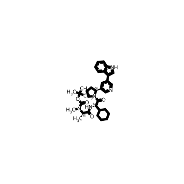 C[C@@H](C(=O)N[C@H](C(=O)N1CCC[C@H]1c1cncc(-c2c[nH]c3ccccc23)c1)C1CCCCC1)N(C)C(=O)OC(C)(C)C